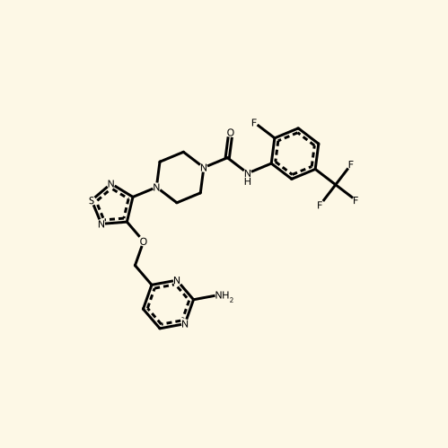 Nc1nccc(COc2nsnc2N2CCN(C(=O)Nc3cc(C(F)(F)F)ccc3F)CC2)n1